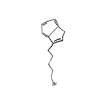 BrCCCCCC1=CCc2ccccc21